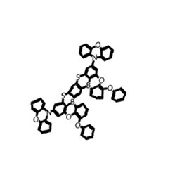 c1ccc(Oc2cccc3c2Oc2cc(N4c5ccccc5Oc5ccccc54)cc4c2B3c2cc3c(cc2S4)Sc2cc(N4c5ccccc5Oc5ccccc54)cc4c2B3c2cccc(Oc3ccccc3)c2O4)cc1